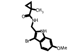 COc1ccc2c(Br)c(CNC(=O)C3(C)CC3)[nH]c2c1